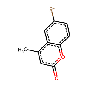 Cc1cc(=O)oc2ccc(Br)cc12